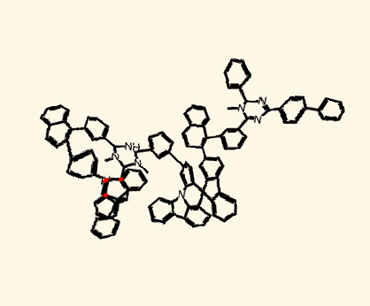 CN1C(c2cccc(-c3c(-c4ccc5c(c4)C4(c6ccccc6-5)c5ccc(-c6cccc(C7NC(c8cccc(-c9c(-c%10ccc(-n%11c%12ccccc%12c%12ccccc%12%11)cc%10)ccc%10ccccc9%10)c8)N(C)C(c8ccc(-c9ccccc9)cc8)N7C)c6)cc5-n5c6ccccc6c6cccc4c65)ccc4ccccc34)c2)=NC(c2ccc(-c3ccccc3)cc2)=NC1c1ccccc1